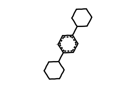 [c]1cc(C2CCCCC2)ccc1C1CCCCC1